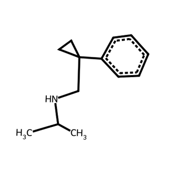 CC(C)NCC1(c2ccccc2)CC1